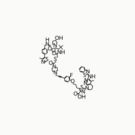 Cc1ncsc1-c1ccc([C@H](C)NC(=O)[C@@H]2C[C@@H](O)CN2C(=O)[C@@H](NC(=O)CSCC(=O)N2CCN(CC#Cc3ccc(OCCCc4sc(N5CCCc6c5nnc(Nc5nc7ccccc7s5)c6C)nc4C(=O)O)c(F)c3)CC2)C(C)(C)C)cc1